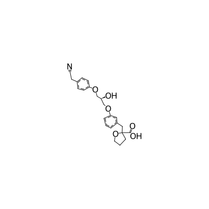 N#CCc1ccc(OC[C@@H](O)COc2cccc(CC3(C(=O)O)CCCO3)c2)cc1